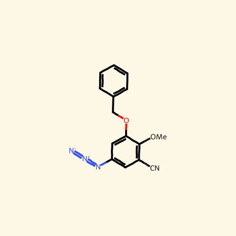 COc1c(C#N)cc(N=[N+]=[N-])cc1OCc1ccccc1